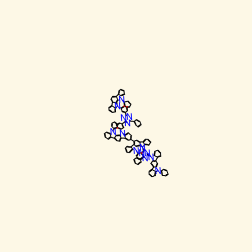 c1ccc(-c2nc(-c3cccc(-n4c5ccccc5c5ccc6c7ccccc7n(-c7ccccc7)c6c54)c3)nc(-c3cccc(-n4c5ccc(-c6cc7c8ccccc8n(-c8nc(-c9ccccc9)nc(-n9c%10ccccc%10c%10cc%11c(cc%109)c9ccccc9n%11-c9ccccc9)n8)c7c7c6c6ccccc6n7-c6ccccc6)cc5c5ccc6c7ccccc7n(-c7ccccc7)c6c54)c3)n2)cc1